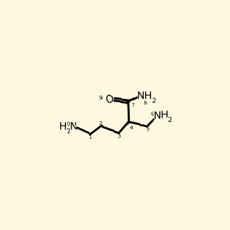 NCCCC(CN)C(N)=O